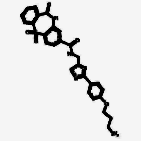 NCCCOc1ccc(-c2ncc(CNC(=O)c3ccc4c(c3)NC(=O)c3ccccc3S4(=O)=O)s2)cc1